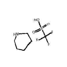 C1CCNCC1.O=S(=O)(O)C(F)(F)F